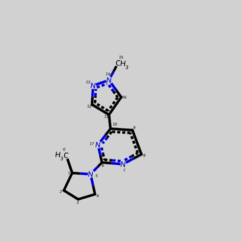 CC1CCCN1c1nccc(-c2cnn(C)c2)n1